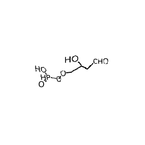 O=CCC(O)COO[PH](=O)O